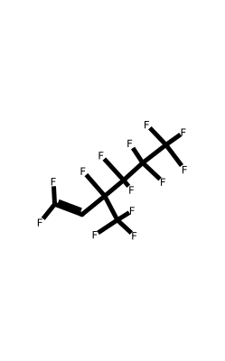 FC(F)=CC(F)(C(F)(F)F)C(F)(F)C(F)(F)C(F)(F)F